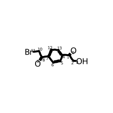 O=C(CO)c1ccc(C(=O)CBr)cc1